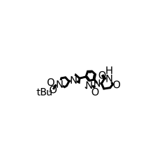 Cn1c(=O)n(C2CCC(=O)NC2=O)c2cccc(C3CN(C4CCN(C(=O)OC(C)(C)C)CC4)C3)c21